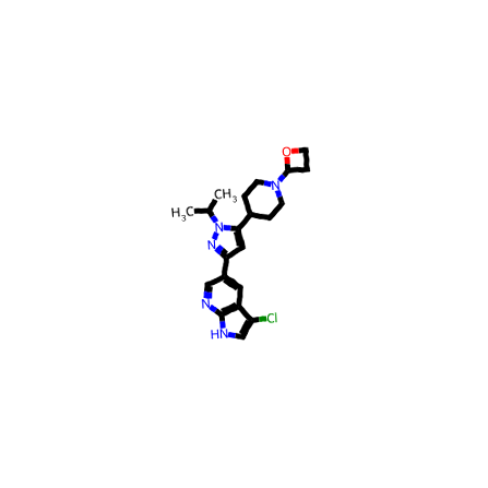 CC(C)n1nc(-c2cnc3[nH]cc(Cl)c3c2)cc1C1CCN(C2CCO2)CC1